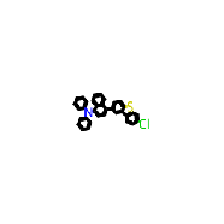 Clc1ccc2c(c1)sc1ccc(-c3ccc(N(c4ccccc4)c4ccccc4)c4ccccc34)cc12